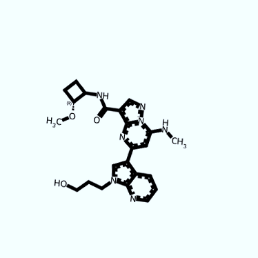 CNc1cc(-c2cn(CCCO)c3ncccc23)nc2c(C(=O)NC3CC[C@H]3OC)cnn12